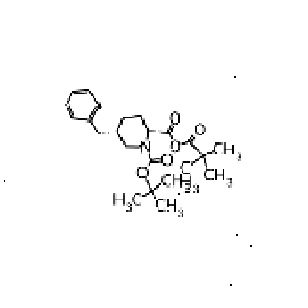 CC(C)(C)OC(=O)N1C[C@H](Cc2ccccc2)CC[C@H]1C(=O)OC(=O)C(C)(C)C